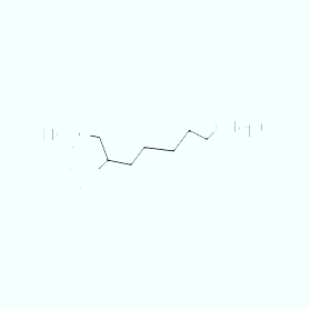 CCCCCCCCCCCCC(CC(=O)O)C(=O)O